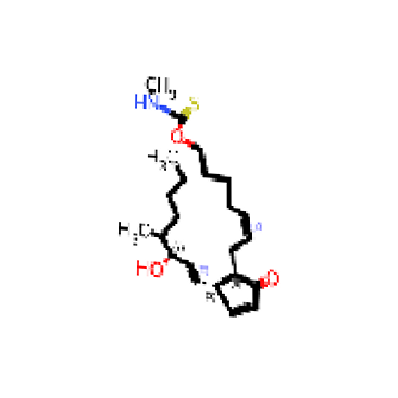 CCCCC(C)[C@H](O)/C=C/[C@H]1C=CC(=O)[C@@H]1C/C=C\CCCCOC(=S)NC